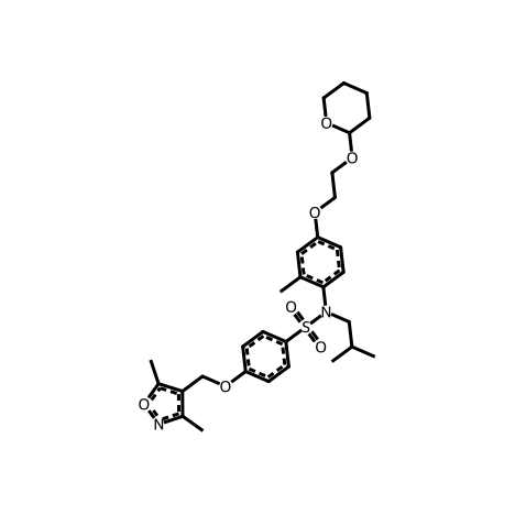 Cc1cc(OCCOC2CCCCO2)ccc1N(CC(C)C)S(=O)(=O)c1ccc(OCc2c(C)noc2C)cc1